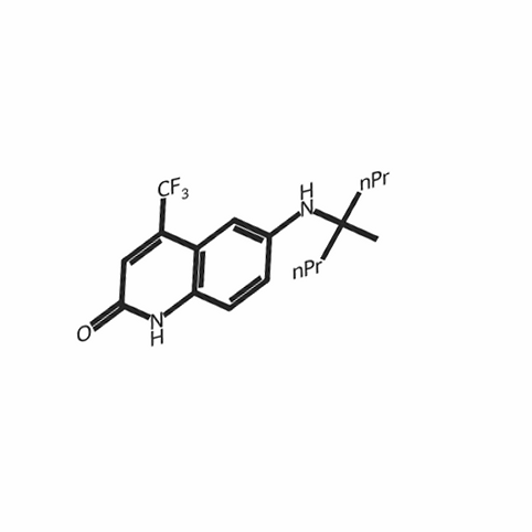 CCCC(C)(CCC)Nc1ccc2[nH]c(=O)cc(C(F)(F)F)c2c1